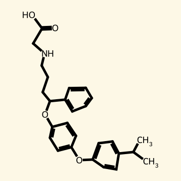 CC(C)c1ccc(Oc2ccc(OC(CCCNCC(=O)O)c3ccccc3)cc2)cc1